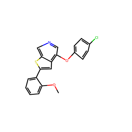 COc1ccccc1-c1cc2c(Oc3ccc(Cl)cc3)cncc2s1